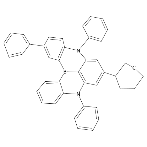 c1ccc(-c2ccc3c(c2)B2c4ccccc4N(c4ccccc4)c4cc(C5CCCCC5)cc(c42)N3c2ccccc2)cc1